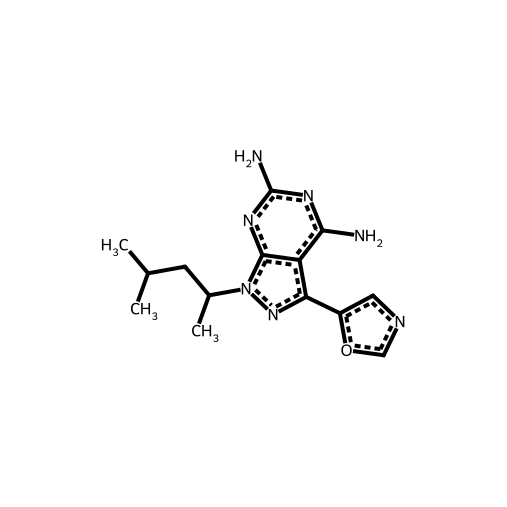 CC(C)CC(C)n1nc(-c2cnco2)c2c(N)nc(N)nc21